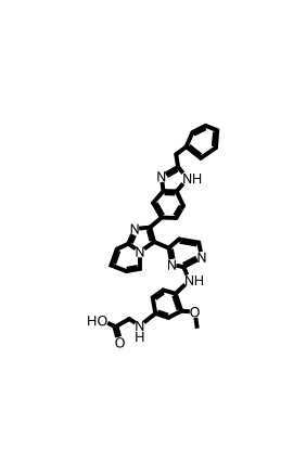 COc1cc(NCC(=O)O)ccc1Nc1nccc(-c2c(-c3ccc4[nH]c(Cc5ccccc5)nc4c3)nc3ccccn23)n1